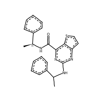 CC(Nc1nc(C(=O)N[C@@H](C)c2ccccc2)c2sccc2n1)c1ccccc1